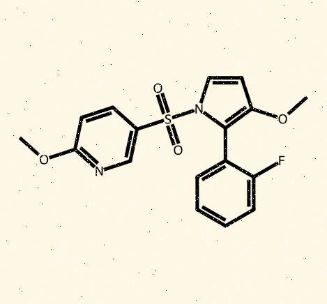 COc1ccc(S(=O)(=O)n2ccc(OC)c2-c2ccccc2F)cn1